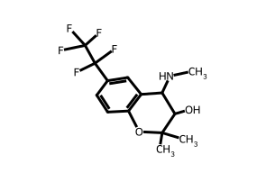 CNC1c2cc(C(F)(F)C(F)(F)F)ccc2OC(C)(C)C1O